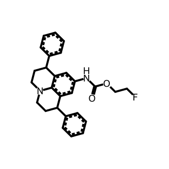 O=C(Nc1cc2c3c(c1)C(c1ccccc1)CCN3CCC2c1ccccc1)OCCF